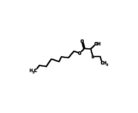 CCCCCCCCOC(=O)C(O)SCC